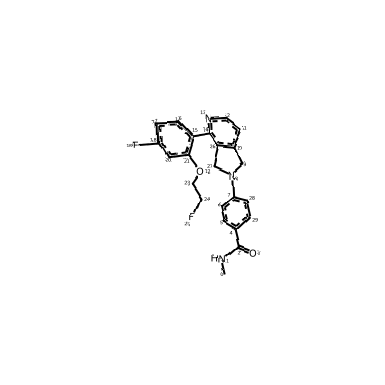 CNC(=O)c1ccc(N2Cc3ccnc(-c4ccc(F)cc4OCCF)c3C2)cc1